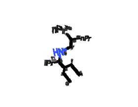 C=CC(C=C)=C(NCC(CCC)CCC)C(C)C